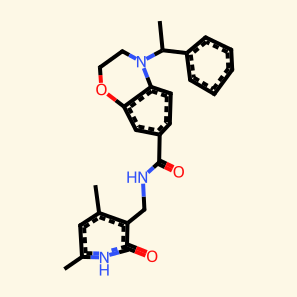 Cc1cc(C)c(CNC(=O)c2ccc3c(c2)OCCN3C(C)c2ccccc2)c(=O)[nH]1